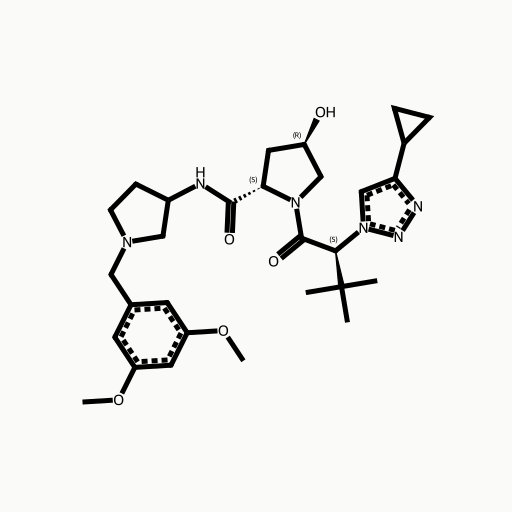 COc1cc(CN2CCC(NC(=O)[C@@H]3C[C@@H](O)CN3C(=O)[C@@H](n3cc(C4CC4)nn3)C(C)(C)C)C2)cc(OC)c1